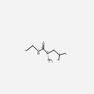 CCNC(=O)[C@@H](N)CC(C)C